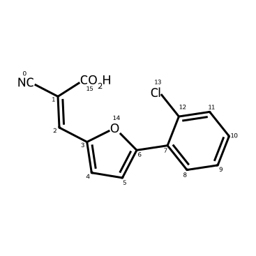 N#CC(=Cc1ccc(-c2ccccc2Cl)o1)C(=O)O